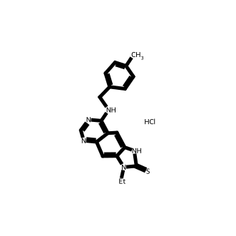 CCn1c(=S)[nH]c2cc3c(NCc4ccc(C)cc4)ncnc3cc21.Cl